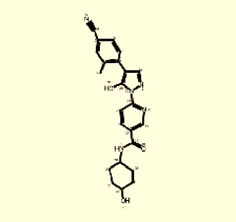 Cc1cc(C#N)ccc1-c1cnn(-c2ccc(C(=O)NC3CCC(O)CC3)cn2)c1O